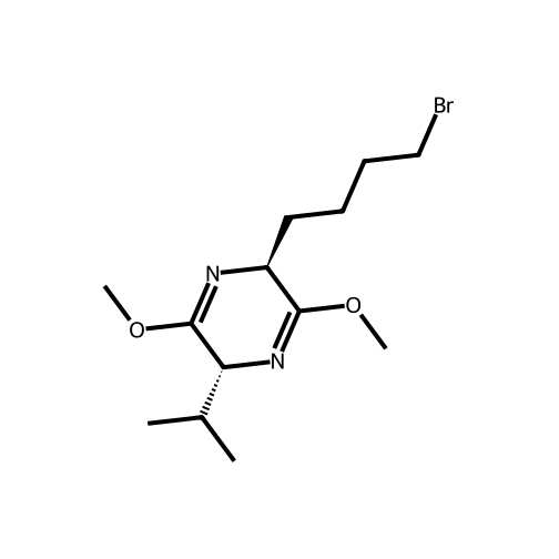 COC1=N[C@H](C(C)C)C(OC)=N[C@H]1CCCCBr